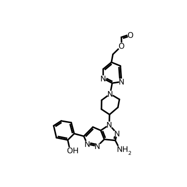 Nc1nn(C2CCN(c3ncc(COC=O)cn3)CC2)c2cc(-c3ccccc3O)nnc12